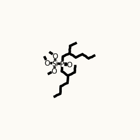 CCCCC(CC)CP(=O)(CC(CC)CCCC)[Si](OC)(OC)OC